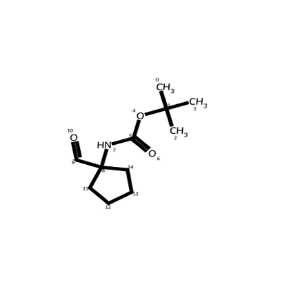 CC(C)(C)OC(=O)NC1([C]=O)CCCC1